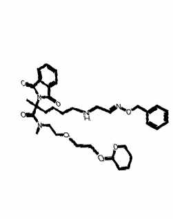 CN(CCOCCOC1CCCCO1)C(=O)C(C)(CCCCNCC=NOCc1ccccc1)N1C(=O)c2ccccc2C1=O